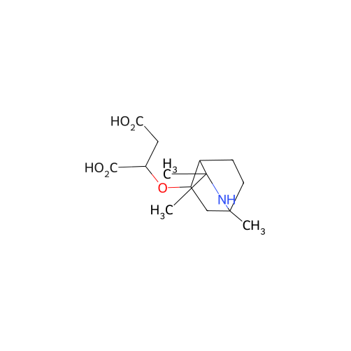 CC12CCC(C(OC(CC(=O)O)C(=O)O)C1)C(C)(C)N2